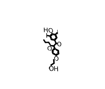 CCCc1oc2cc(OCCCO)ccc2c1C(=O)c1cc(I)c(O)c(I)c1